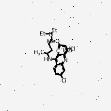 CCN(CC)CCCC(C)Nc1c2ccc(Cl)cc2nc2ccc(OC)cc12.Cl.Cl